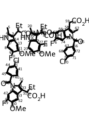 CCC(C(=O)O)c1c(C)[nH]c2cc(F)c(OC)cc12.CCC(C(=O)O)c1c(C)[nH]c2ccc(OC)c(F)c12.CCC(C(=O)O)c1c(C)n(C(=O)c2ccc(Cl)cc2)c2cc(F)c(OC)cc12.COc1cc2c(CC(=O)O)c(C)n(C(=O)c3ccc(Cl)cc3)c2cc1F